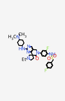 CCN1CCC2(C1)C(=O)N(c1ccc(NS(=O)(=O)Cc3ccc(F)cc3)c(F)c1)Cc1cnc(NC3CCC(N(C)C)CC3)nc12